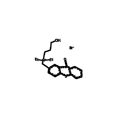 CC[N+](CC)(CCCO)Cc1ccc2sc3ccccc3c(=O)c2c1.[Br-]